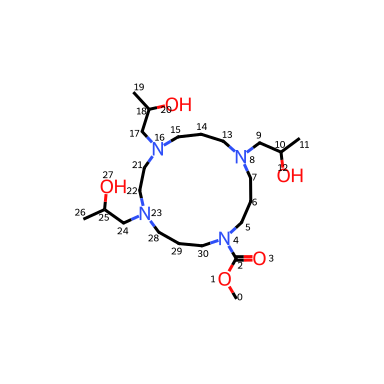 COC(=O)N1CCCN(CC(C)O)CCCN(CC(C)O)CCN(CC(C)O)CCC1